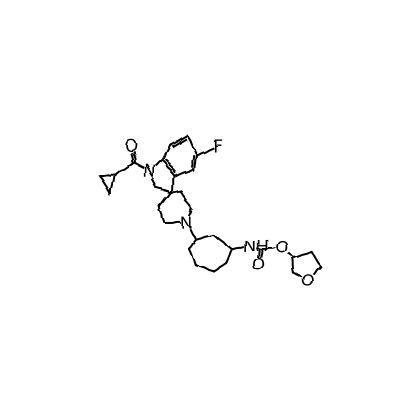 O=C(NC1CCCCC(N2CCC3(CC2)CN(C(=O)C2CC2)c2ccc(F)cc23)C1)O[C@H]1CCOC1